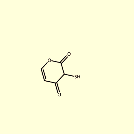 O=C1C=COC(=O)C1S